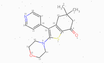 CC1(C)CC(=O)c2sc(N3CCOCC3)c(-c3ccncc3)c2C1